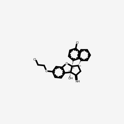 N=C1C[C@@H](c2ccccc2)[C@]2(c3ccc(Cl)cc3)Oc3cc(OCCCl)ccc3[C@]12O